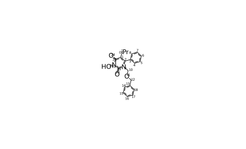 CC(C)c1c(-c2ccccc2)n(COCc2ccccc2)c(=O)n(O)c1=O